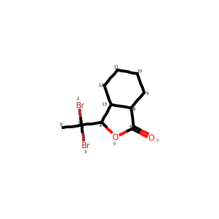 CC(Br)(Br)C1OC(=O)C2CCCCC21